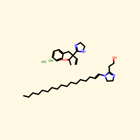 C=CC(Cc1ccccc1)(C1=NCCN1)C(C)O.CCCCCCCCCCCCCCCC=CN1CCN=C1CCO.Cl.Cl